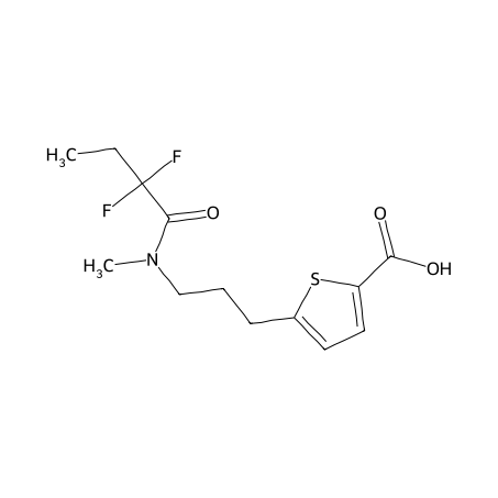 CCC(F)(F)C(=O)N(C)CCCc1ccc(C(=O)O)s1